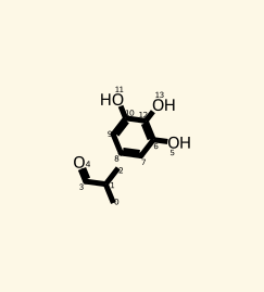 CC(C)C=O.Oc1cccc(O)c1O